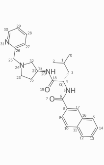 CC(C)C[C@H](NC(=O)c1ccc2ccccc2c1)C(=O)N[C@H]1CCN(Cc2ccccn2)C1